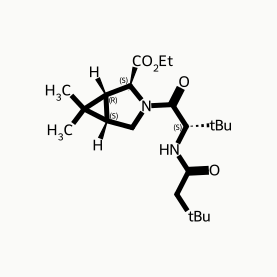 CCOC(=O)[C@@H]1[C@@H]2[C@H](CN1C(=O)[C@@H](NC(=O)CC(C)(C)C)C(C)(C)C)C2(C)C